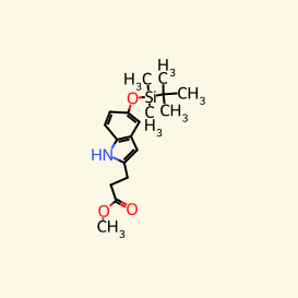 COC(=O)CCc1cc2cc(O[Si](C)(C)C(C)(C)C)ccc2[nH]1